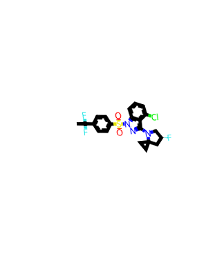 CC(F)(F)c1ccc(S(=O)(=O)n2nc(N3C[C@H](F)CC34CC4)c3c(Cl)cccc32)cc1